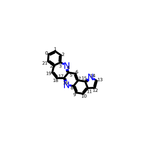 c1ccc2nc3cc4c(ccc5ccnc54)nc3ccc2c1